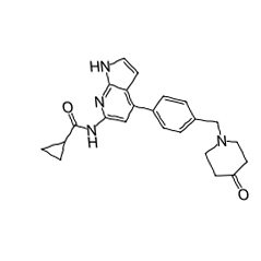 O=C1CCN(Cc2ccc(-c3cc(NC(=O)C4CC4)nc4[nH]ccc34)cc2)CC1